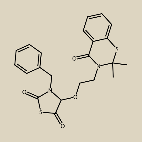 CC1(C)Sc2ccccc2C(=O)N1CCOC1C(=O)SC(=O)N1Cc1ccccc1